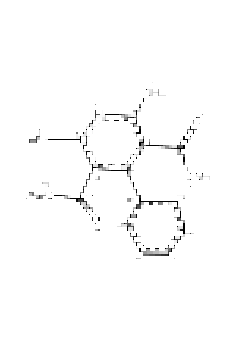 CCCc1nc(N)c(C(=O)OC)c(-c2ccccc2)c1C(=O)OC